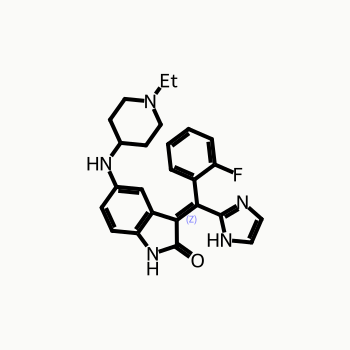 CCN1CCC(Nc2ccc3c(c2)/C(=C(/c2ncc[nH]2)c2ccccc2F)C(=O)N3)CC1